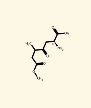 COC(=O)CC(C)C(=O)C[C@H](N)C(=O)O